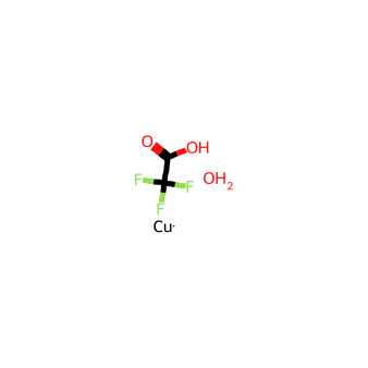 O.O=C(O)C(F)(F)F.[Cu]